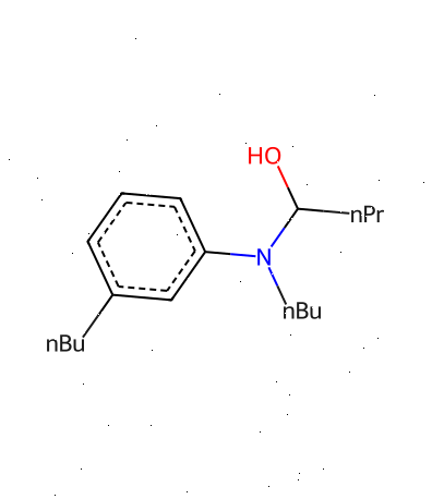 CCCCc1cccc(N(CCCC)C(O)CCC)c1